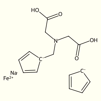 O=C(O)CN(CC(=O)O)C[c-]1cccc1.[Fe+2].[Na].c1cc[cH-]c1